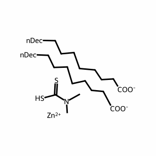 CCCCCCCCCCCCCCCCCC(=O)[O-].CCCCCCCCCCCCCCCCCC(=O)[O-].CN(C)C(=S)S.[Zn+2]